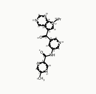 Cc1cnc(C(=O)Nc2cncc(C(=O)c3cn(C(C)C)c4ncncc34)c2)cn1